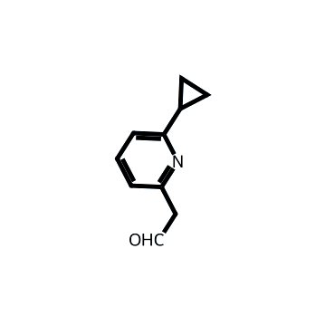 O=CCc1cccc(C2CC2)n1